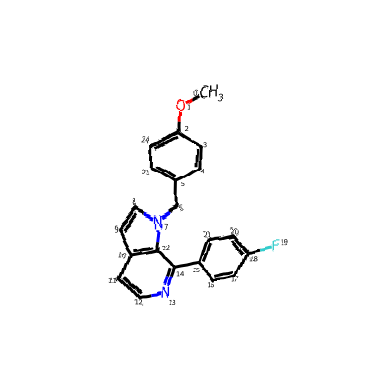 COc1ccc(Cn2ccc3ccnc(-c4ccc(F)cc4)c32)cc1